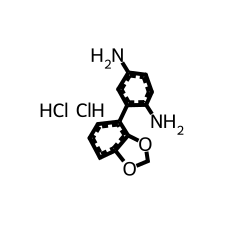 Cl.Cl.Nc1ccc(N)c(-c2cccc3c2OCO3)c1